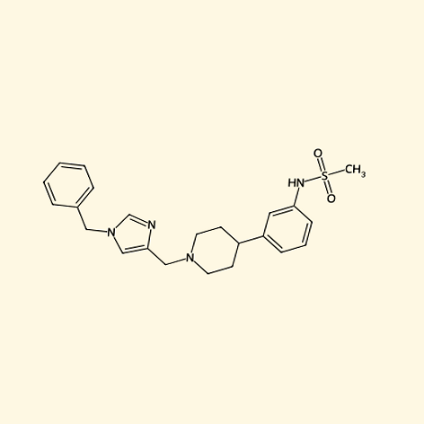 CS(=O)(=O)Nc1cccc(C2CCN(Cc3cn(Cc4ccccc4)cn3)CC2)c1